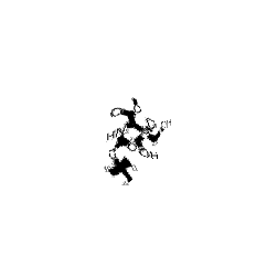 COC(=O)C(NC(=O)OC(C)(C)C)P(=O)(CO)CO